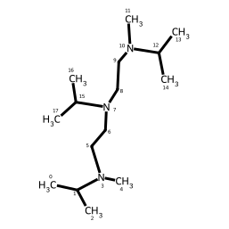 CC(C)N(C)CCN(CCN(C)C(C)C)C(C)C